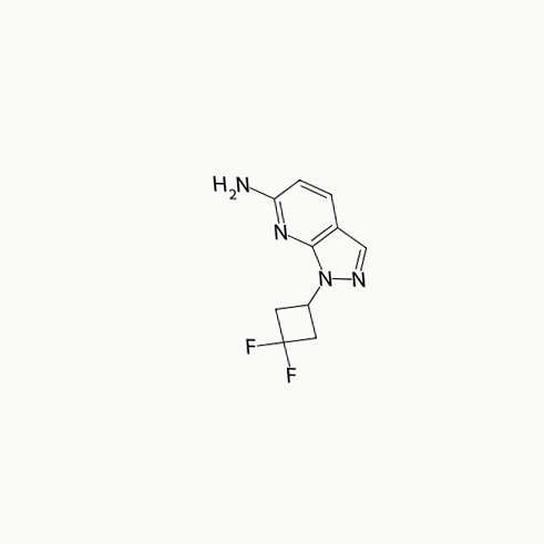 Nc1ccc2cnn(C3CC(F)(F)C3)c2n1